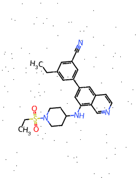 CCc1cc(C#N)cc(-c2cc(NC3CCN(S(=O)(=O)CC)CC3)c3cnccc3c2)c1